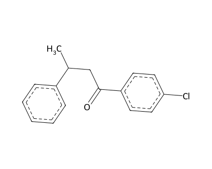 CC(CC(=O)c1ccc(Cl)cc1)c1ccccc1